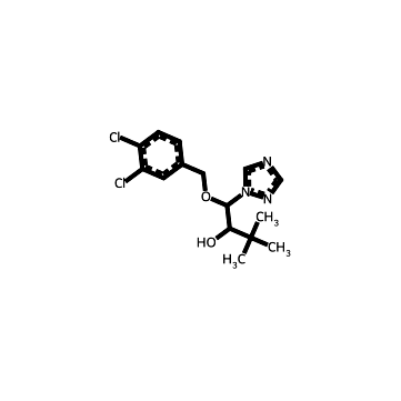 CC(C)(C)C(O)C(OCc1ccc(Cl)c(Cl)c1)n1cncn1